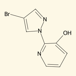 Oc1cccnc1-n1cc(Br)cn1